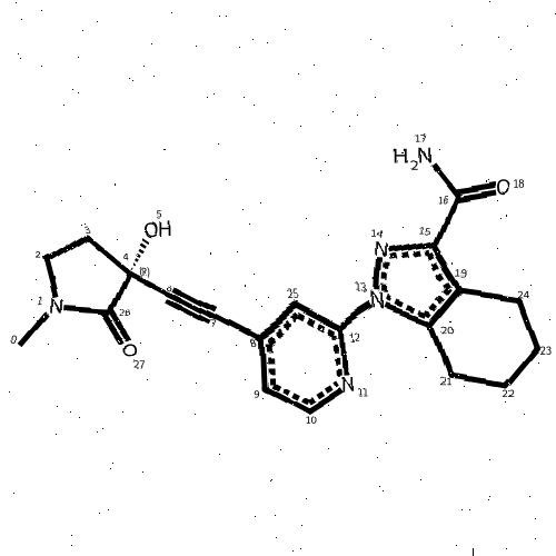 CN1CC[C@@](O)(C#Cc2ccnc(-n3nc(C(N)=O)c4c3CCCC4)c2)C1=O